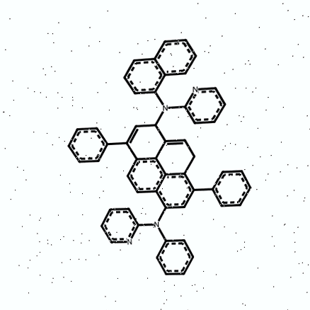 C1=C(c2ccccc2)c2ccc3c(N(c4ccccc4)c4ccccn4)cc(-c4ccccc4)c4c3c2C(=CC4)C1N(c1ccccn1)c1cccc2ccccc12